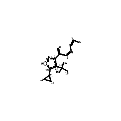 C=C(/C=C\C=C/C)c1noc(C2CC2)c1C(C)(C)C